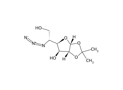 CC1(C)O[C@H]2O[C@H]([C@@H](CO)N=[N+]=[N-])[C@H](O)[C@H]2O1